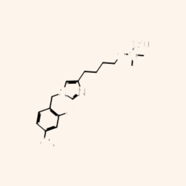 CC(C)(C)[Si](C)(C)OCCCCc1cn(Cc2ccc(C#N)cc2Cl)cn1